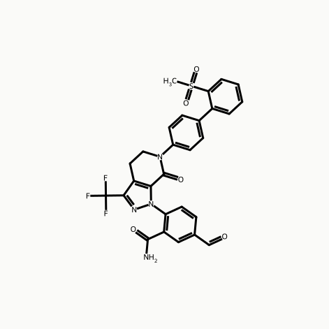 CS(=O)(=O)c1ccccc1-c1ccc(N2CCc3c(C(F)(F)F)nn(-c4ccc(C=O)cc4C(N)=O)c3C2=O)cc1